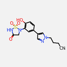 N#CCCCn1cc(-c2ccc(O)c(N3CC(=O)NS3(=O)=O)c2)cn1